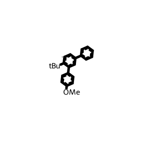 COc1ccc(-c2cc(-c3ccccc3)c[c]c2C(C)(C)C)cc1